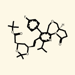 CC(C)c1nc2c(c(-c3ccc(F)cc3)c1/C=C/[C@@H]1C[C@H](CC(=O)OC(C)(C)C)OC(C)(C)O1)COC[C@H]1CCC(=O)N21